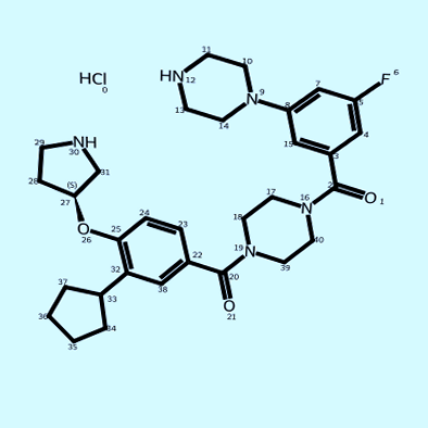 Cl.O=C(c1cc(F)cc(N2CCNCC2)c1)N1CCN(C(=O)c2ccc(O[C@H]3CCNC3)c(C3CCCC3)c2)CC1